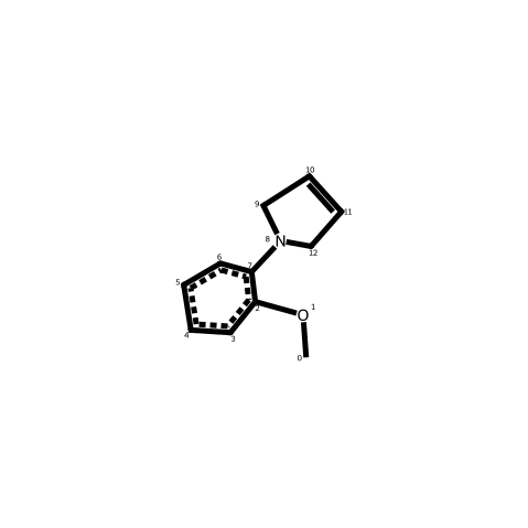 COc1ccccc1N1CC=CC1